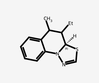 CCC1C(C)c2ccccc2N2N=CS[C@H]12